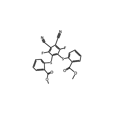 COC(=O)c1ccccc1Sc1c(F)c(C#N)c(C#N)c(F)c1Sc1ccccc1C(=O)OC